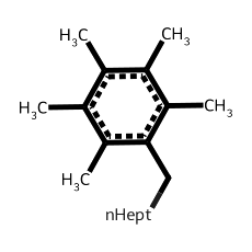 [CH2]CCCCCCCc1c(C)c(C)c(C)c(C)c1C